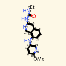 CCNC(=O)Nc1cc2cccc(Nc3ccc(OC)nc3)c2cn1